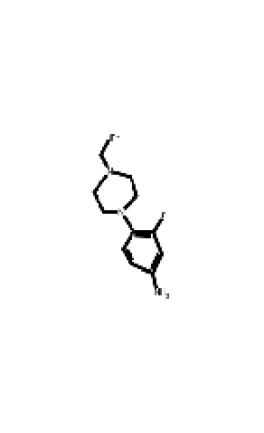 C[C](C)CN1CCN(c2ccc(N)cc2F)CC1